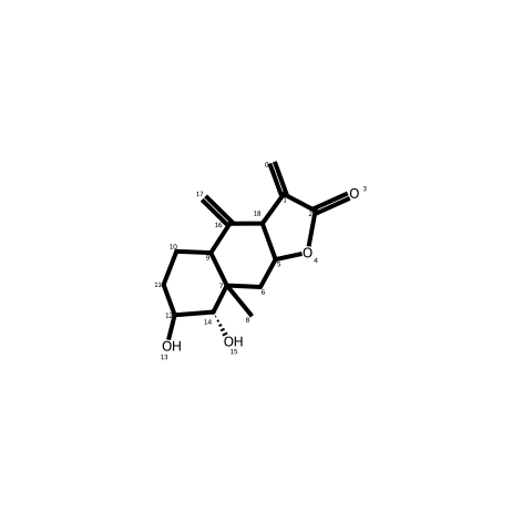 C=C1C(=O)OC2CC3(C)C(CCC(O)[C@H]3O)C(=C)C12